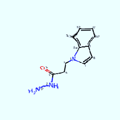 NNC(=O)CCn1ccc2ccccc21